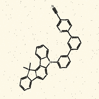 CC1(C)c2ccccc2-c2ccc3c(c21)c1ccccc1n3-c1cccc(-c2cccc(-c3ccc(C#N)cn3)c2)c1